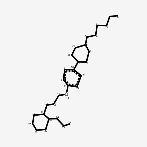 CCCCCCC1CCC(c2ccc(OCCCC3CCCCC3CCC)cc2)CC1